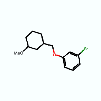 COC1CCCC(COc2cccc(Br)c2)C1